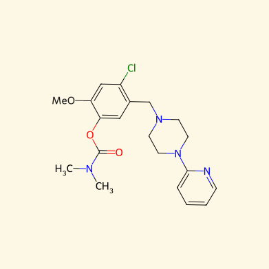 COc1cc(Cl)c(CN2CCN(c3ccccn3)CC2)cc1OC(=O)N(C)C